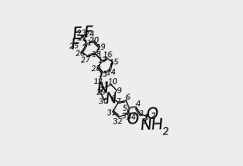 NC(=O)c1cc2cc(N3CCN(Cc4cccc(-c5ccc(C(F)(F)F)cc5)c4)CC3)ccc2o1